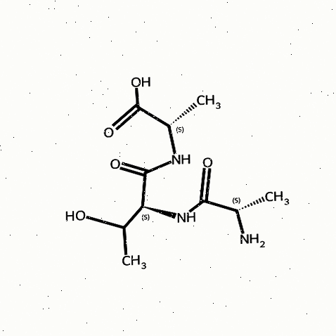 CC(O)[C@H](NC(=O)[C@H](C)N)C(=O)N[C@@H](C)C(=O)O